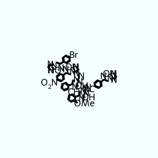 COc1ccccc1C(Cn1cncn1)=NO.Cc1ccccc1C(Cn1cncn1)=NO.N#Cc1ccc(C(Cn2cncn2)=NO)cc1.O=[N+]([O-])c1ccc(C(Cn2cncn2)=NO)cc1.ON=C(Cn1cncn1)c1ccc(Br)cc1